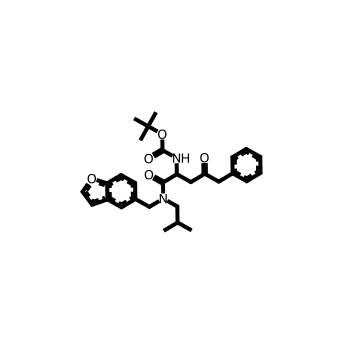 CC(C)CN(Cc1ccc2occc2c1)C(=O)C(CC(=O)Cc1ccccc1)NC(=O)OC(C)(C)C